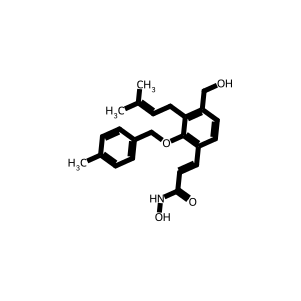 CC(C)=CCc1c(CO)ccc(/C=C/C(=O)NO)c1OCc1ccc(C)cc1